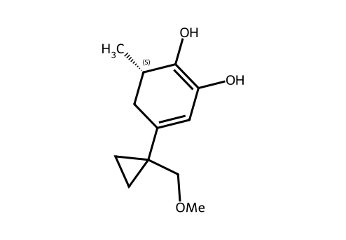 COCC1(C2=CC(O)=C(O)[C@@H](C)C2)CC1